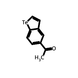 CC(=O)c1ccc2[te]ccc2c1